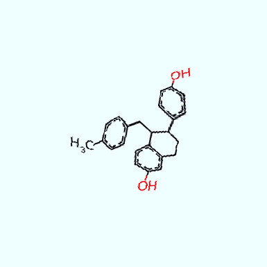 Cc1ccc(CC2c3ccc(O)cc3CCC2c2ccc(O)cc2)cc1